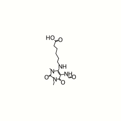 Cn1c(NCCCCCC(=O)O)c(NC=O)c(=O)n(C)c1=O